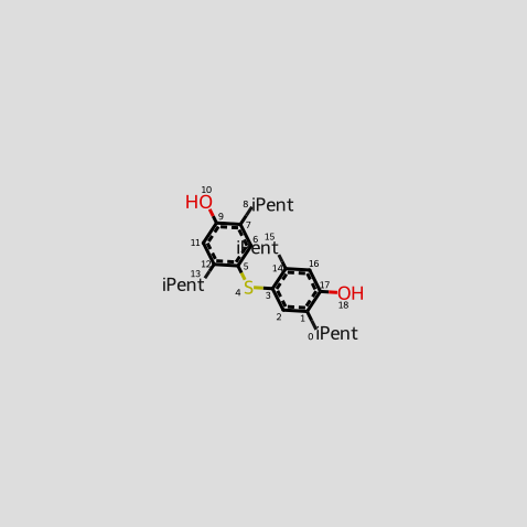 CCCC(C)c1cc(Sc2cc(C(C)CCC)c(O)cc2C(C)CCC)c(C(C)CCC)cc1O